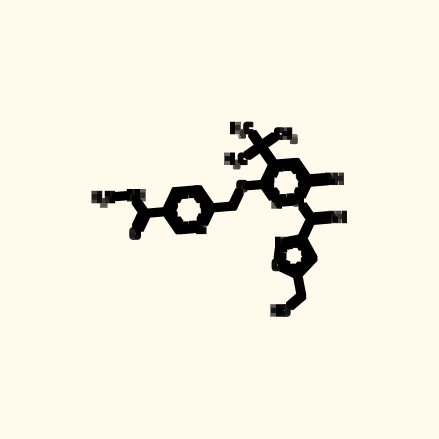 CC(C)(C)c1cc(=N)n(C(=N)c2cc(CO)on2)nc1OCc1ccc(C(=O)NN)cn1